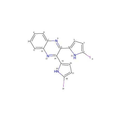 Ic1ccc(-c2nc3ccccc3nc2-c2ccc(I)[nH]2)[nH]1